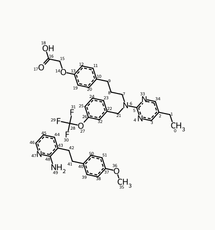 CCc1cnc(N(CCCc2ccc(OCC(=O)O)cc2)Cc2cccc(OC(F)(F)F)c2)nc1.COc1ccc(CCc2cccnc2N)cc1